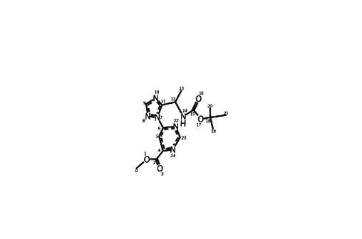 COC(=O)c1cc(-n2ncnc2C(C)NC(=O)OC(C)(C)C)ncn1